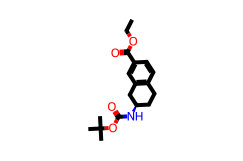 CCOC(=O)c1ccc2c(c1)C[C@H](NC(=O)OC(C)(C)C)CC2